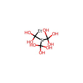 CCC(O)(O)[Si](C(O)(O)O)C(O)(O)O